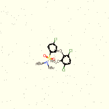 CCCCN(CCCC)S(=O)(=O)c1ccc(Cl)cc1.COc1c(Cl)ccc(Cl)c1C(=O)O